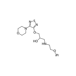 CC(C)OCCNCC(O)COc1nsnc1N1CCOCC1